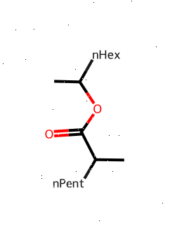 CCCCCCC(C)OC(=O)C(C)CCCCC